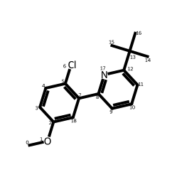 COc1ccc(Cl)c(-c2cccc(C(C)(C)C)n2)c1